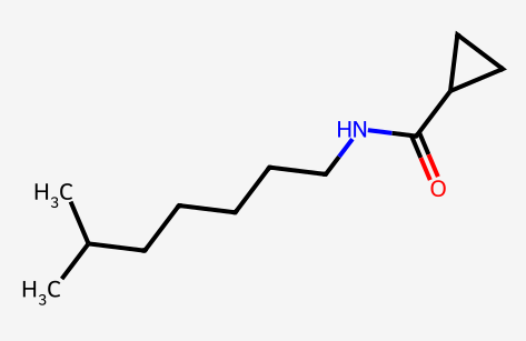 CC(C)CCCCCNC(=O)C1CC1